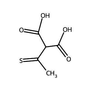 CC(=S)C(C(=O)O)C(=O)O